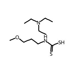 CCN(CC)CC.COCCCNC(=S)S